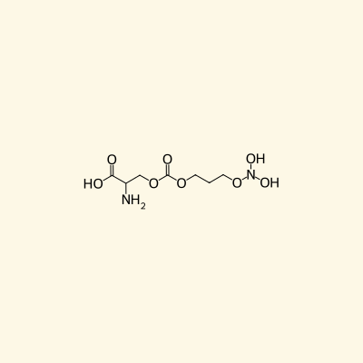 NC(COC(=O)OCCCON(O)O)C(=O)O